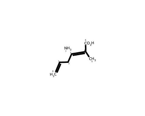 C=CC/C=C(\C)C(=O)O.N